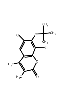 Cc1c(C)c2cc(Cl)c(OC(C)(C)C)c(Cl)c2oc1=O